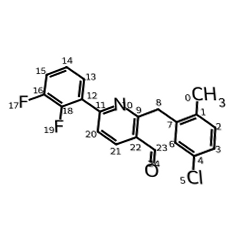 Cc1ccc(Cl)cc1Cc1nc(-c2cccc(F)c2F)ccc1C=O